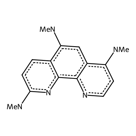 CNc1ccc2c(NC)cc3c(NC)ccnc3c2n1